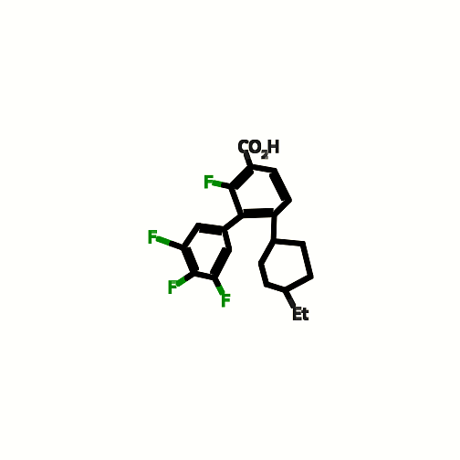 CCC1CCC(c2ccc(C(=O)O)c(F)c2-c2cc(F)c(F)c(F)c2)CC1